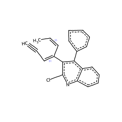 C#C/C=C(\C=C/C)c1c(Cl)nc2ccccc2c1-c1ccccc1